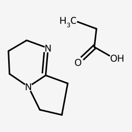 C1CN=C2CCCN2C1.CCC(=O)O